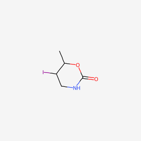 CC1OC(=O)NCC1I